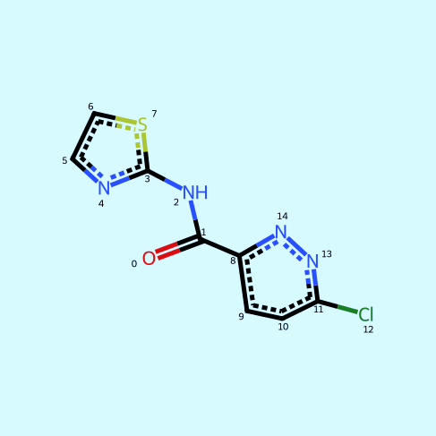 O=C(Nc1nccs1)c1ccc(Cl)nn1